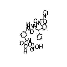 O=C(O)CON=C(C(=O)O)c1cccc(NC(=O)NN2C=C(c3ccccc3)c3ccccc3N(CC(=O)N3CCCC3)C2=O)c1